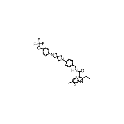 CCc1nc2sc(C)cn2c1C(=O)NCc1ccc(N2CC3(C2)CN(c2ccc(OC(F)(F)F)cc2)C3)cc1